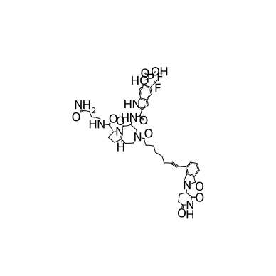 NC(=O)CCCNC(=O)[C@@H]1CC[C@@H]2CCN(C(=O)CCCCCC#Cc3cccc4c3CN(C3CCC(=O)NC3=O)C4=O)C[C@H](NC(=O)c3cc4cc(C(F)(F)P(=O)(O)O)ccc4[nH]3)C(=O)N21